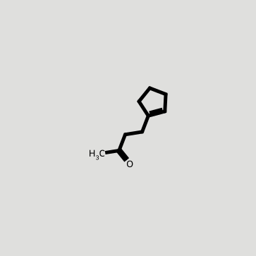 CC(=O)CCC1=CCCC1